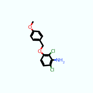 COc1ccc(COc2ccc(Cl)c(N)c2Cl)cc1